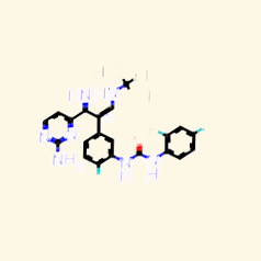 CC(C)(C)N/C=C(\C(=N)c1ccnc(N)n1)c1ccc(F)c(NC(=O)Nc2ccc(F)cc2F)c1